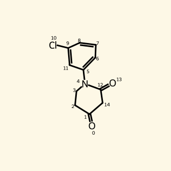 O=C1CCN(c2cccc(Cl)c2)C(=O)C1